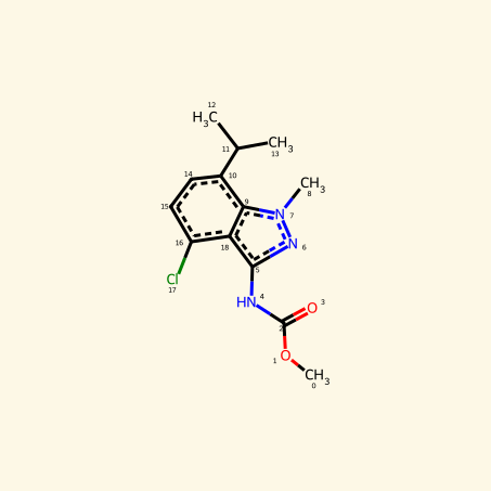 COC(=O)Nc1nn(C)c2c(C(C)C)ccc(Cl)c12